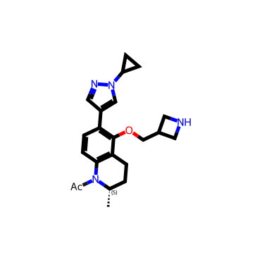 CC(=O)N1c2ccc(-c3cnn(C4CC4)c3)c(OCC3CNC3)c2CC[C@@H]1C